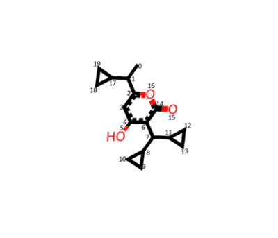 CC(c1cc(O)c(C(C2CC2)C2CC2)c(=O)o1)C1CC1